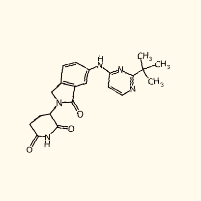 CC(C)(C)c1nccc(Nc2ccc3c(c2)C(=O)N(C2CCC(=O)NC2=O)C3)n1